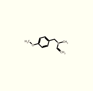 C=CN(C)Cc1ccc(OC)cc1